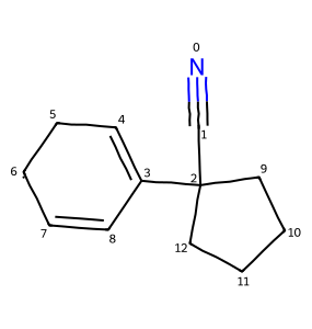 N#CC1(C2=CC[CH]C=C2)CCCC1